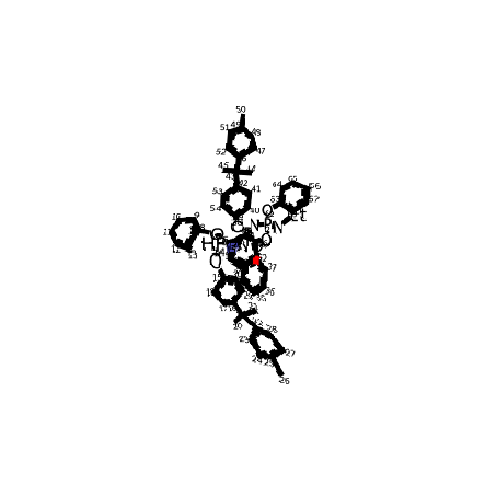 CCN=P(N=P(/N=[PH](\Oc1ccccc1)Oc1ccc(C(C)(C)c2ccc(C)cc2)cc1)(Oc1ccccc1)Oc1ccc(C(C)(C)c2ccc(C)cc2)cc1)(Oc1ccccc1)Oc1ccccc1